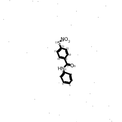 O=C(Nc1ccccc1)c1ccc(S[N+](=O)[O-])cc1